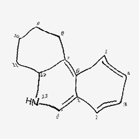 [C]1=c2ccccc2=C2CCCCC2N1